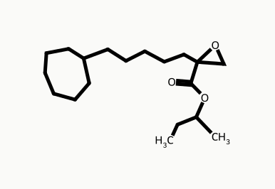 CCC(C)OC(=O)C1(CCCCCC2CCCCCC2)CO1